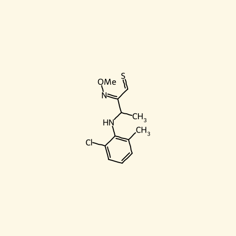 CON=C(C=S)C(C)Nc1c(C)cccc1Cl